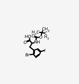 CC(C)(C)OC(=O)NC(Cc1cc(I)ccc1Br)C(=O)O